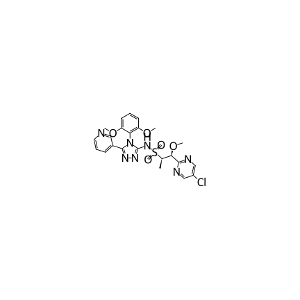 COc1cccc(OC)c1-n1c(NS(=O)(=O)[C@H](C)[C@@H](OC)c2ncc(Cl)cn2)nnc1-c1cccnc1